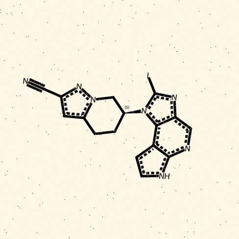 N#Cc1cc2n(n1)C[C@@H](n1c(I)nc3cnc4[nH]ccc4c31)CC2